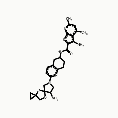 Cc1cc(C)c2c(N)c(C(=O)NC3CCc4nc(N5CC(N)C6(C5)OCC5(CC5)O6)ccc4C3)sc2n1